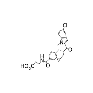 Cn1c(C(=O)[C@@H](Cc2ccc(C(=O)NCCC(=O)O)cc2)CC2CC2)cc2cc(Cl)ccc21